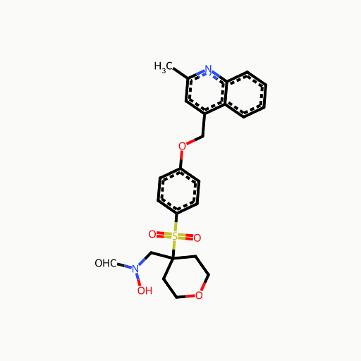 Cc1cc(COc2ccc(S(=O)(=O)C3(CN(O)C=O)CCOCC3)cc2)c2ccccc2n1